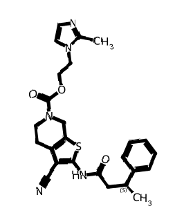 Cc1nccn1CCOC(=O)N1CCc2c(sc(NC(=O)C[C@H](C)c3ccccc3)c2C#N)C1